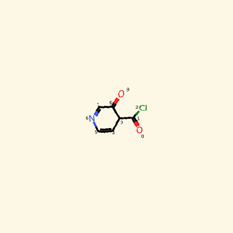 O=C(Cl)C1C=CN=CC1=O